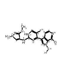 COc1nn(C)cc1NC1N=C(c2cn(SI)c3c(Cl)nccc23)C(F)=CN1